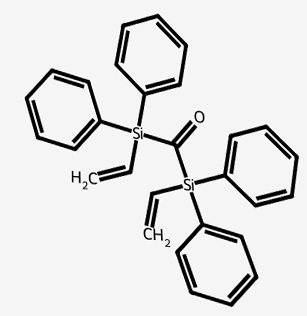 C=C[Si](C(=O)[Si](C=C)(c1ccccc1)c1ccccc1)(c1ccccc1)c1ccccc1